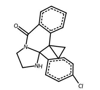 O=C1c2ccccc2C2(CC2)C2(c3ccc(Cl)cc3)NCCN12